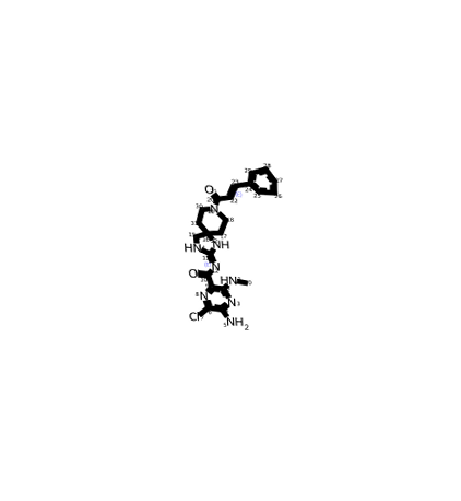 CNc1nc(N)c(Cl)nc1C(=O)/N=C1\NCC2(CCN(C(=O)/C=C/c3ccccc3)CC2)N1